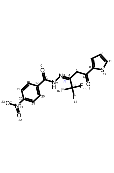 O=C(N/N=C(/CC(=O)c1cccs1)C(F)(F)F)c1ccc([N+](=O)[O-])cc1